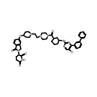 O=C1CCC(N2Cc3cc(OC4CCN(CCN5CCN(C(=O)C6CCCC(Nc7ncc(Cl)c(-c8cccc(-c9ccccc9)c8)n7)C6)CC5)CC4)ccc3C2=O)C(=O)N1